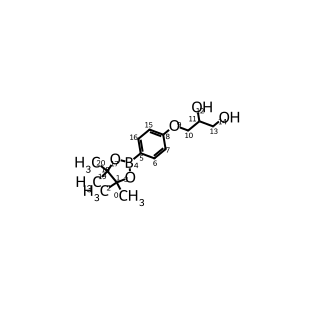 CC1(C)OB(c2ccc(OCC(O)CO)cc2)OC1(C)C